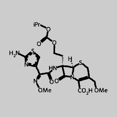 COCC1=C(C(=O)O)N2C(=O)[C@@](CCOC(=O)OC(C)C)(NC(=O)/C(=N\OC)c3csc(N)n3)[C@H]2SC1